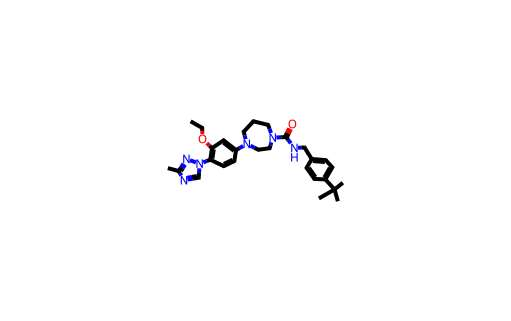 CCOc1cc(N2CCCN(C(=O)NCc3ccc(C(C)(C)C)cc3)CC2)ccc1-n1cnc(C)n1